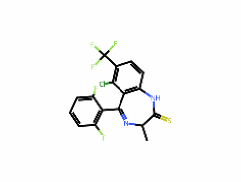 CC1N=C(c2c(F)cccc2F)c2c(ccc(C(F)(F)F)c2Cl)NC1=S